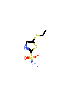 CCSc1cnc(S(N)(=O)=O)s1